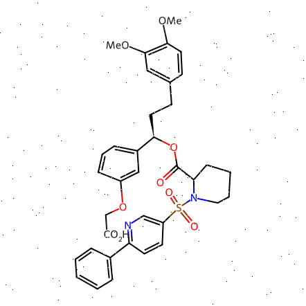 COc1ccc(CC[C@@H](OC(=O)C2CCCCN2S(=O)(=O)c2ccc(-c3ccccc3)nc2)c2cccc(OCC(=O)O)c2)cc1OC